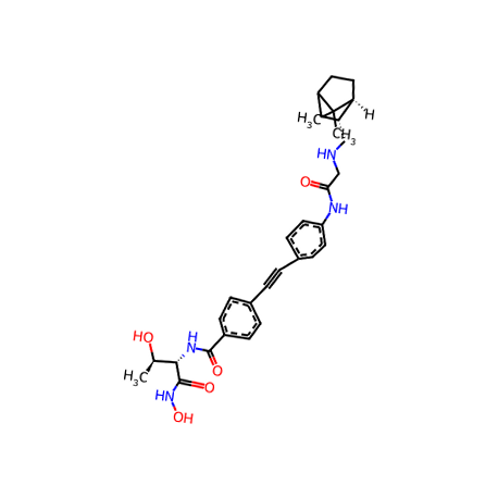 C[C@@H](O)[C@H](NC(=O)c1ccc(C#Cc2ccc(NC(=O)CNC[C@@H]3CC4CC[C@@H]3C4(C)C)cc2)cc1)C(=O)NO